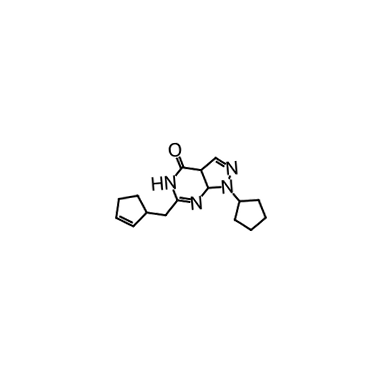 O=C1NC(CC2C=CCC2)=NC2C1C=NN2C1CCCC1